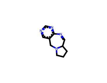 C1=Nc2ncncc2CN2CCCC12